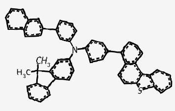 CC1(C)c2ccccc2-c2ccc(N(c3ccc(-c4cccc5c4ccc4sc6ccccc6c45)cc3)c3cccc(-c4ccc5ccccc5c4)c3)cc21